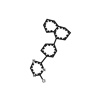 Clc1ncnc(-c2ccc(-c3cccc4ccccc34)cc2)n1